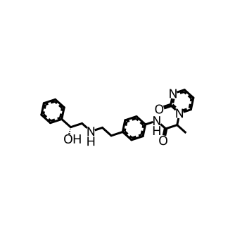 CC(C(=O)Nc1ccc(CCNC[C@H](O)c2ccccc2)cc1)n1cccnc1=O